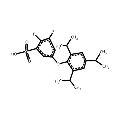 CC(C)c1cc(C(C)C)c(Sc2cc(F)c(F)c(S(=O)(=O)O)c2)c(C(C)C)c1